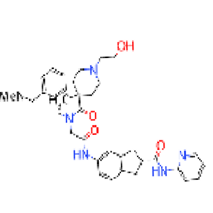 CNCc1ccccc1CN(CC(=O)Nc1ccc2c(c1)C[C@H](C(=O)Nc1ccccn1)C2)C(=O)C1(C)CCN(CCO)CC1